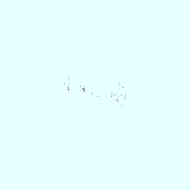 CNC(=O)C1CCN(CCCOc2ccc(-c3cc4c(ncn4C)c(C#N)n3)cc2C)CC1